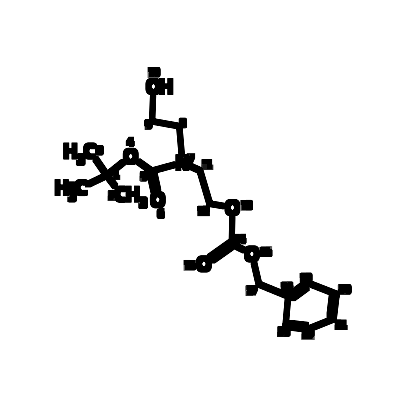 CC(C)(C)OC(=O)N(CCO)CCOC(=O)OCc1ccccc1